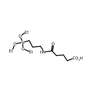 CCO[Si](CCCNC(=O)CCCC(=O)O)(OCC)OCC